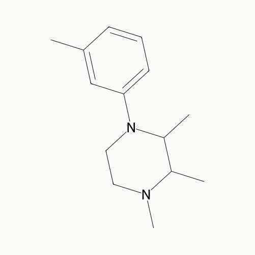 Cc1cccc(N2CCN(C)C(C)C2C)c1